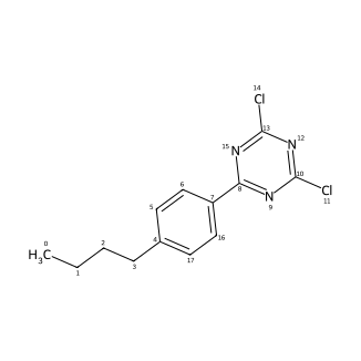 CCCCc1ccc(-c2nc(Cl)nc(Cl)n2)cc1